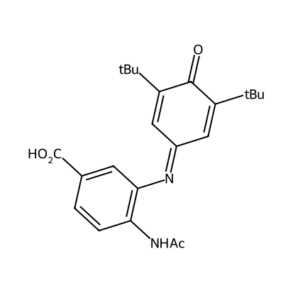 CC(=O)Nc1ccc(C(=O)O)cc1N=C1C=C(C(C)(C)C)C(=O)C(C(C)(C)C)=C1